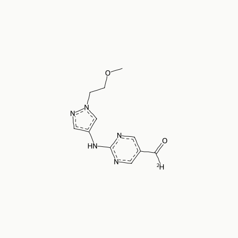 [2H]C(=O)c1cnc(Nc2cnn(CCOC)c2)nc1